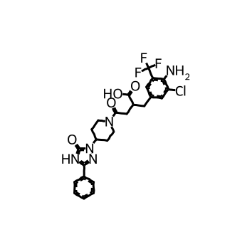 Nc1c(Cl)cc(CC(CC(=O)N2CCC(n3nc(-c4ccccc4)[nH]c3=O)CC2)C(=O)O)cc1C(F)(F)F